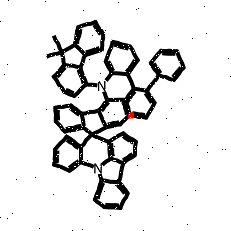 CC1(C)c2ccccc2-c2c(N(c3ccccc3-c3ccccc3-c3ccccc3)c3cccc4c3-c3ccccc3C43c4ccccc4-n4c5ccccc5c5cccc3c54)cccc21